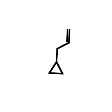 C=CC[C]1CC1